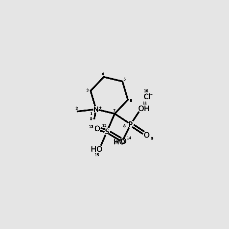 C[N+]1(C)CCCCC1(P(=O)(O)O)S(=O)(=O)O.[Cl-]